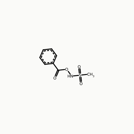 CS(=O)(=O)NOC(=O)c1ccccc1